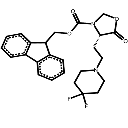 O=C1OCN(C(=O)OCC2c3ccccc3-c3ccccc32)[C@H]1CCN1CCC(F)(F)CC1